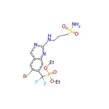 CCOP(=O)(OCC)C(F)(F)c1cc2nc(NCCCS(N)(=O)=O)ncc2cc1Br